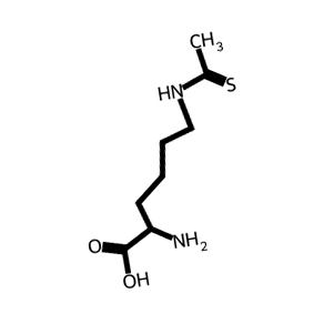 CC(=S)NCCCCC(N)C(=O)O